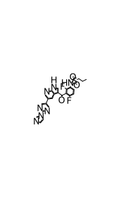 CCCS(=O)(=O)Nc1ccc(F)c(C(=O)c2c[nH]c3ncc(-c4cnc(-n5ccnc5)nc4)cc23)c1F